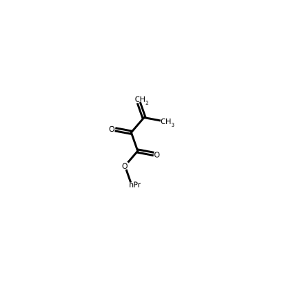 [CH2]CCOC(=O)C(=O)C(=C)C